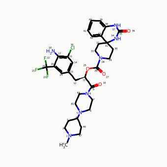 CN1CCC(N2CCN(C(=O)[C@@H](Cc3cc(Cl)c(N)c(C(F)(F)F)c3)OC(=O)N3CCC4(CC3)NC(=O)Nc3ccccc34)CC2)CC1